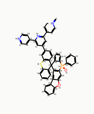 C=N/C=C\C(=C/C)c1cc(-c2ccc3c(c2)Sc2ccccc2C32c3ccccc3P(=O)(c3ccccc3)c3cc4oc5ccccc5c4cc32)cc(-c2ccncc2)n1